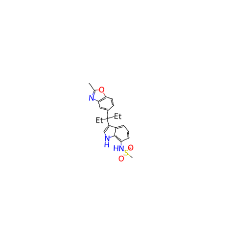 CCC(CC)(c1ccc2oc(C)nc2c1)c1c[nH]c2c(NS(C)(=O)=O)cccc12